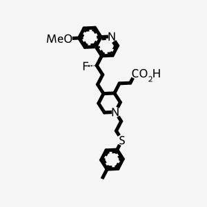 COc1ccc2nccc([C@@H](F)CCC3CCN(CCSc4ccc(C)cc4)CC3CCC(=O)O)c2c1